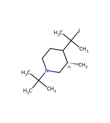 C[C@@H]1CN(C(C)(C)C)CCC1C(C)(C)I